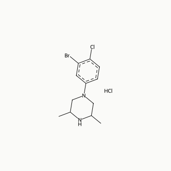 CC1CN(c2ccc(Cl)c(Br)c2)CC(C)N1.Cl